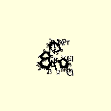 CCCN1CCN(c2ccc3c(c2)C(N(C)Sc2cc(Cl)cc(Cl)c2)CCC3)CC1